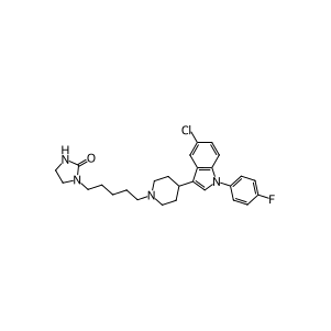 O=C1NCCN1CCCCCN1CCC(c2cn(-c3ccc(F)cc3)c3ccc(Cl)cc23)CC1